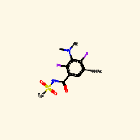 CC(=O)Nc1cc(C(=O)NS(=O)(=O)C(F)(F)F)c(I)c(N(C)C(C)=O)c1I